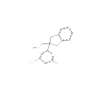 O=C(O)NCC1(c2cc(Br)cc(Cl)n2)Cc2ccccc2C1